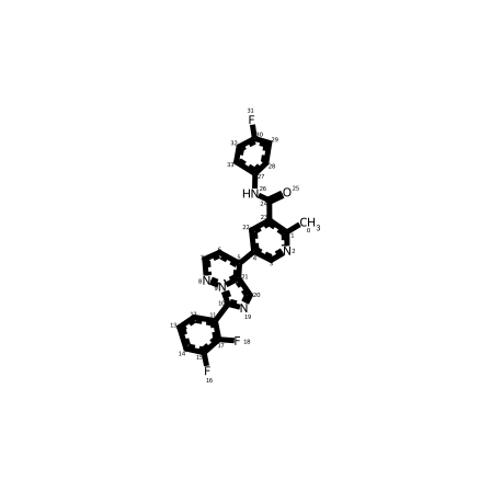 Cc1ncc(-c2ccnn3c(-c4cccc(F)c4F)ncc23)cc1C(=O)Nc1ccc(F)cc1